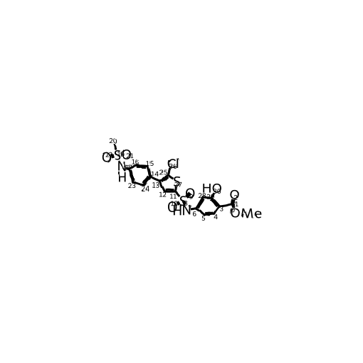 COC(=O)c1ccc(NS(=O)(=O)c2cc(-c3ccc(NS(C)(=O)=O)cc3)c(Cl)s2)cc1O